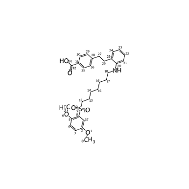 COc1ccc(OC)c(S(=O)(=O)CCCCCCCNc2ccccc2CCc2ccc(C(=O)O)cc2)c1